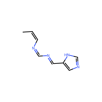 C\C=C/N=C\N=C\c1cnc[nH]1